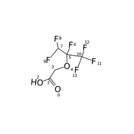 O=C(O)COC(F)(C(F)F)C(F)(F)F